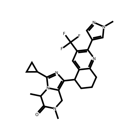 CC1C(=O)N(C)Cc2c(C3CCCc4nc(-c5cnn(C)c5)c(C(F)(F)F)cc43)nc(C3CC3)n21